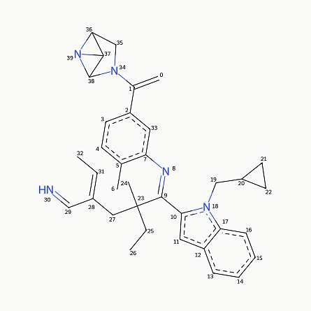 C=C(c1ccc(C)c(/N=C(/c2cc3ccccc3n2CC2CC2)C(C)(CC)C/C(C=N)=C/C)c1)N1CC2C3C1N23